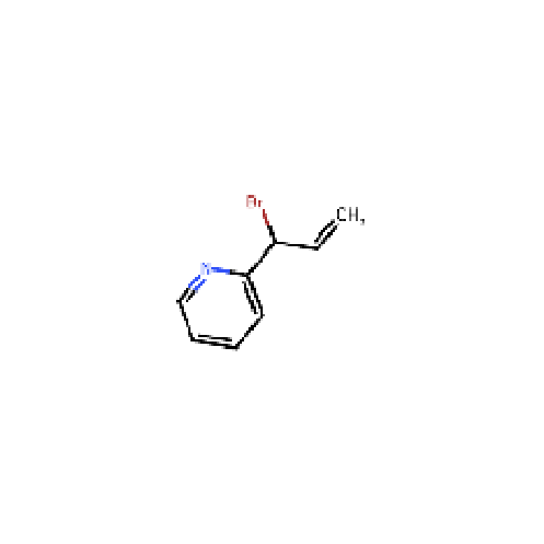 C=CC(Br)c1ccccn1